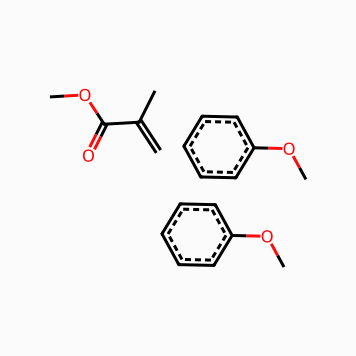 C=C(C)C(=O)OC.COc1ccccc1.COc1ccccc1